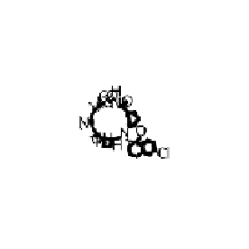 C[C@@H]1[C@@H](C)C[C@H](N(C)C)C[C@@](C)(O)[C@@H]2CC[C@H]2CN2C[C@@]3(CCCc4cc(Cl)ccc43)COc3ccc(cc32)C(=O)NS1(=O)=O